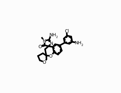 CN1C(=O)C2(CC3(CCCOC3)Oc3ccc(-c4cc(N)cc(Cl)c4)cc32)N=C1N